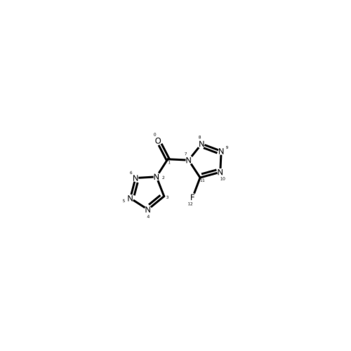 O=C(n1cnnn1)n1nnnc1F